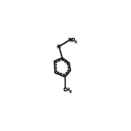 Cc1ccc([N][N+](=O)[O-])cc1